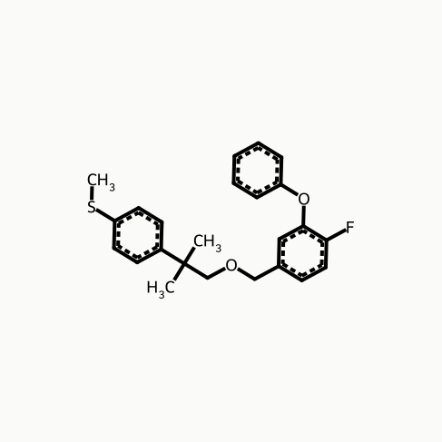 CSc1ccc(C(C)(C)COCc2ccc(F)c(Oc3ccccc3)c2)cc1